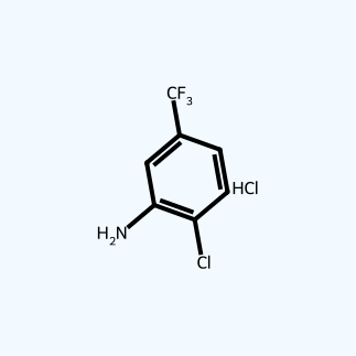 Cl.Nc1cc(C(F)(F)F)ccc1Cl